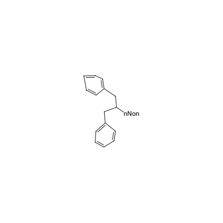 CCCCCCCCCC(Cc1ccccc1)Cc1ccccc1